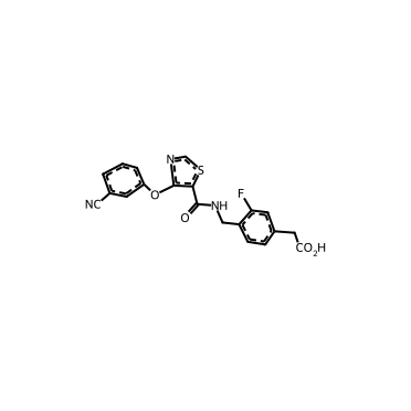 N#Cc1cccc(Oc2ncsc2C(=O)NCc2ccc(CC(=O)O)cc2F)c1